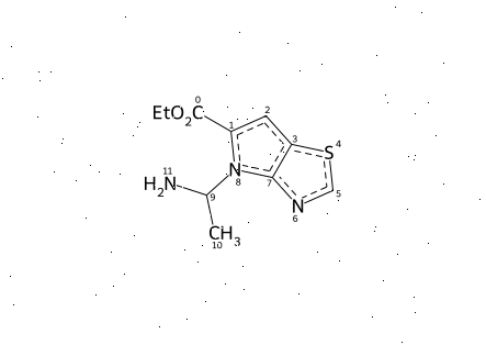 CCOC(=O)c1cc2scnc2n1C(C)N